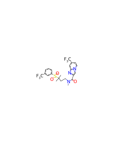 CN(CCC(C)(C)S(=O)(=O)c1cccc(C(F)(F)F)c1)C(=O)c1cn2ccc(C(F)(F)F)cc2n1